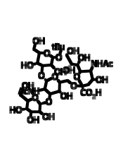 CC(=O)NC1C(O)C[C@](OCC2O[C@@H](OC3C(O)[C@H](OC(C)(C)C)OC(CO)[C@@H]3O)C(NC(C)=O)C(O[C@@H]3OC(CO)[C@H](O)C(O)C3O)[C@@H]2O)(C(=O)O)OC1[C@H](O)[C@H](O)CO